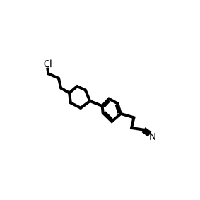 N#CCCc1ccc(C2CCC(CCCCl)CC2)cc1